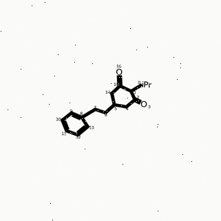 CC(C)C1C(=O)CC(CCc2ccccc2)CC1=O